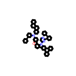 c1ccc(-c2cccc(N(c3ccc4c(c3)oc3ccc5c6cc7c8ccccc8c8ccccc8c7cc6n(-c6ccnc(-c7ccccc7-c7ccccc7)n6)c5c34)c3ccc4ccc5c6ccccc6ccc5c4c3)c2)cc1